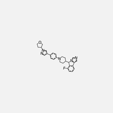 Fc1cccc2c1C(C1CCN(c3ccc(-c4cnn(C5CCOC5)c4)cc3)CC1)n1cncc1-2